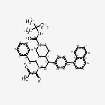 CC(C)(C)OC(=O)N1CCC(C(CN(CCc2ccccc2)C(=O)C(=O)O)c2ccc(-c3cccc4ccccc34)cc2)CC1